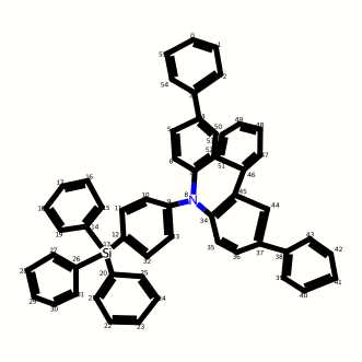 c1ccc(-c2ccc(N(c3ccc([Si](c4ccccc4)(c4ccccc4)c4ccccc4)cc3)c3ccc(-c4ccccc4)cc3-c3ccccc3)cc2)cc1